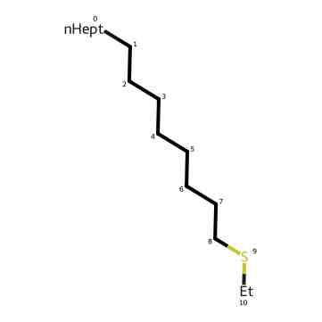 CCCCCCCCCCCCCCCSCC